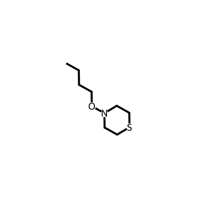 CCCCON1CCSCC1